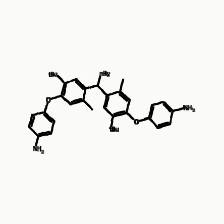 CCCCC(c1cc(C(C)(C)C)c(Oc2ccc(N)cc2)cc1C)c1cc(C(C)(C)C)c(Oc2ccc(N)cc2)cc1C